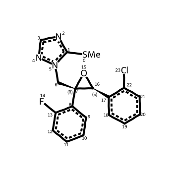 CSc1ncnn1C[C@@]1(c2ccccc2F)O[C@H]1c1ccccc1Cl